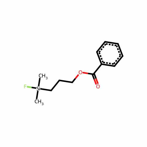 C[Si](C)(F)CCCOC(=O)c1ccccc1